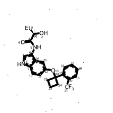 CC[C@@H](O)C(=O)Nc1c[nH]c2ccc(OC3(c4ccccc4C(F)(F)F)CCC3)cc12